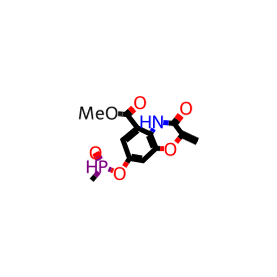 C=C1Oc2cc(O[PH](C)=O)cc(C(=O)OC)c2NC1=O